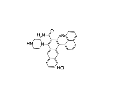 CCCCc1c(C(N)=O)c(N2CCNCC2)c2cc3ccccc3cc2c1-c1cccc2ccccc12.Cl